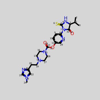 CC(C)C1NC(=S)N(c2ccc(OC(=O)N3CCN(CCc4cn(C)cn4)CC3)cn2)C1=O